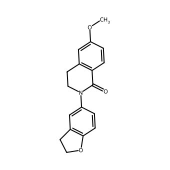 COc1ccc2c(c1)CCN(c1ccc3c(c1)CCO3)C2=O